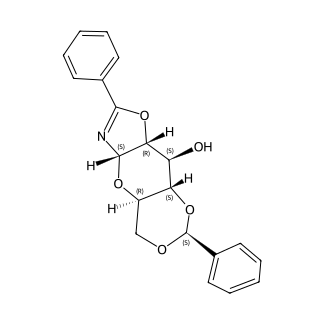 O[C@@H]1[C@H]2OC(c3ccccc3)=N[C@H]2O[C@@H]2CO[C@H](c3ccccc3)O[C@@H]12